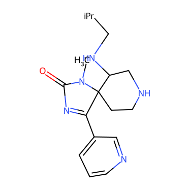 CC(C)CNC1CNCCC12C(c1cccnc1)=NC(=O)N2C